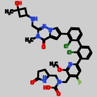 COc1nc(-c2cccc(-c3cccc(-c4cc5c(=O)n(C)c(CNC6CC(C)(O)C6)nn5c4)c3Cl)c2Cl)cc(F)c1CN(CC1CCC(=O)N1)C(=O)O